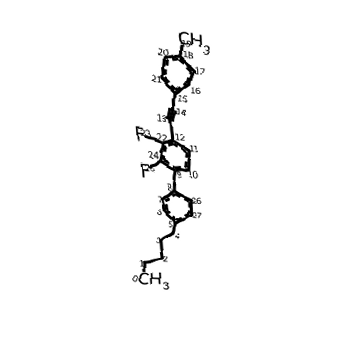 CCCCCc1ccc(-c2ccc(C#Cc3ccc(C)cc3)c(F)c2F)cc1